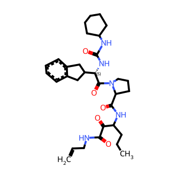 C=CCNC(=O)C(=O)C(CCC)NC(=O)C1CCCN1C(=O)[C@@H](NC(=O)NC1CCCCC1)C1Cc2ccccc2C1